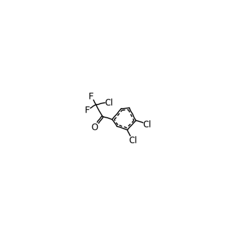 O=C(c1ccc(Cl)c(Cl)c1)C(F)(F)Cl